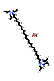 CCC[N+](CCC)(CCC)CCCCCCCCCCCCCCCCCCCCCCCC[N+](CCC)(CCC)CCC.[Br-].[Br-]